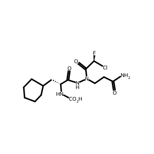 NC(=O)CCN(NC(=O)[C@@H](CC1CCCCC1)NC(=O)O)C(=O)[C@@H](F)Cl